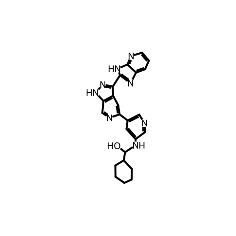 OC(Nc1cncc(-c2cc3c(-c4nc5cccnc5[nH]4)n[nH]c3cn2)c1)C1CCCCC1